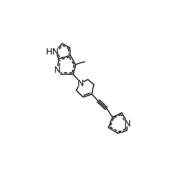 Cc1c(N2CC=C(C#Cc3cccnc3)CC2)cnc2[nH]ccc12